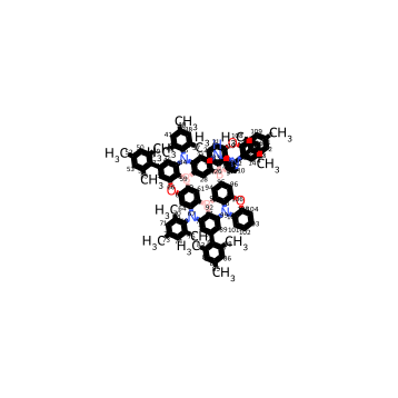 Cc1cc(C)c(-c2cc3c4c(c2)N2c5ccccc5Oc5cccc(c52)B4c2cc4c(cc2N3)N(c2c(C)cc(C)cc2C)c2cc(-c3c(C)cc(C)cc3C)cc3c2B4c2cc4c(cc2O3)N(c2c(C)cc(C)cc2C)c2cc(-c3c(C)cc(C)cc3C)cc3c2B4c2cccc4c2N3c2ccccc2O4)c(C)c1